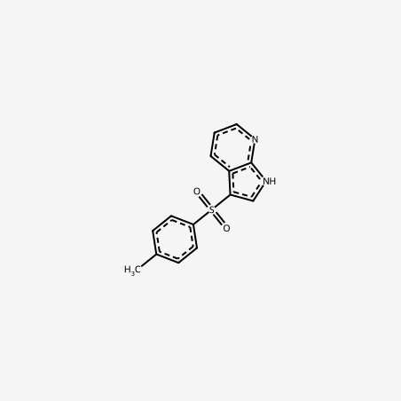 Cc1ccc(S(=O)(=O)c2c[nH]c3ncccc23)cc1